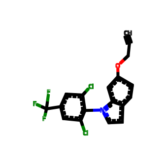 C#CCOc1ccc2ccn(-c3c(Cl)cc(C(F)(F)F)cc3Cl)c2c1